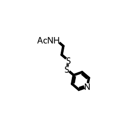 CC(=O)NCCSSc1ccncc1